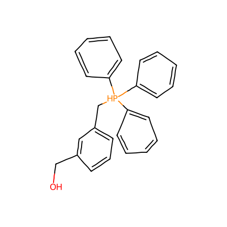 OCc1cccc(C[PH](c2ccccc2)(c2ccccc2)c2ccccc2)c1